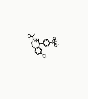 CC(=O)N1CCc2ccc(Cl)cc2C(c2ccc([N+](=O)[O-])cc2)=N1